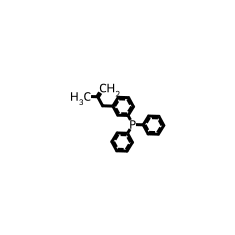 C=C(C)Cc1cccc(P(c2ccccc2)c2ccccc2)c1